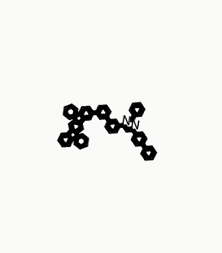 c1ccc(-c2ccc(-c3cc(-c4cccc(-c5cccc(-c6ccc7c(c6)-c6cc8c(cc6C76CCCCC6)-c6ccccc6C86CCCCC6)c5)c4)nc(-c4ccccc4)n3)cc2)cc1